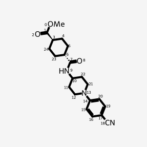 COC(=O)[C@H]1CC[C@H](C(=O)NC2CCN(c3ccc(C#N)cc3)CC2)CC1